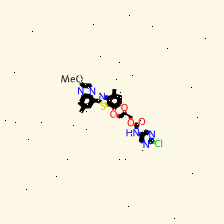 COc1cnc2c(-c3nc4c(C)cc5c(c4s3)OC[C@H](COC(=O)Nc3cnc(Cl)nc3)O5)cc(C)cc2n1